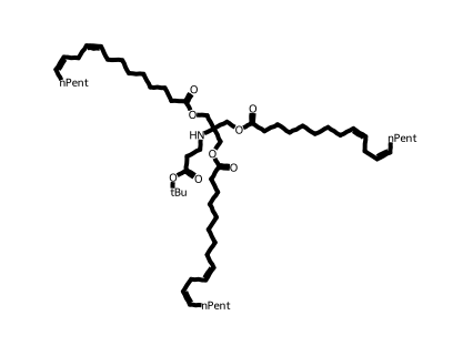 CCCCC/C=C\C/C=C\CCCCCCCC(=O)OCC(COC(=O)CCCCCCC/C=C\C/C=C\CCCCC)(COC(=O)CCCCCCC/C=C\C/C=C\CCCCC)NCCC(=O)OC(C)(C)C